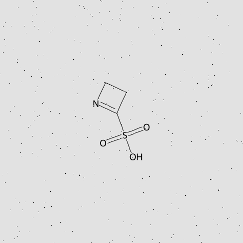 O=S(=O)(O)C1=NCC1